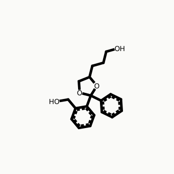 OCCCC1COC(c2ccccc2)(c2ccccc2CO)O1